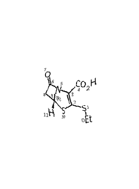 CCSC1=C(C(=O)O)N2C(=O)C[C@H]2S1